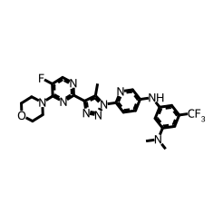 Cc1c(-c2ncc(F)c(N3CCOCC3)n2)nnn1-c1ccc(Nc2cc(N(C)C)cc(C(F)(F)F)c2)cn1